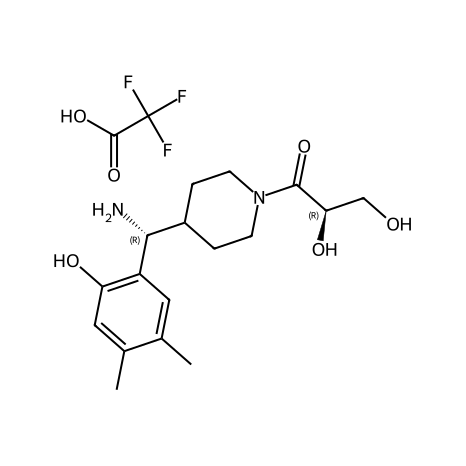 Cc1cc(O)c([C@H](N)C2CCN(C(=O)[C@H](O)CO)CC2)cc1C.O=C(O)C(F)(F)F